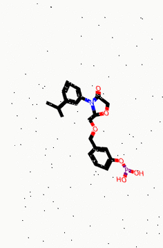 CC(C)c1cccc(N2C(=O)COC2COCc2cccc(OP(O)O)c2)c1